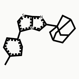 Cc1ccc(-c2csc3nc(C45CC6CC(CC(C6)C4)C5)cn23)cc1